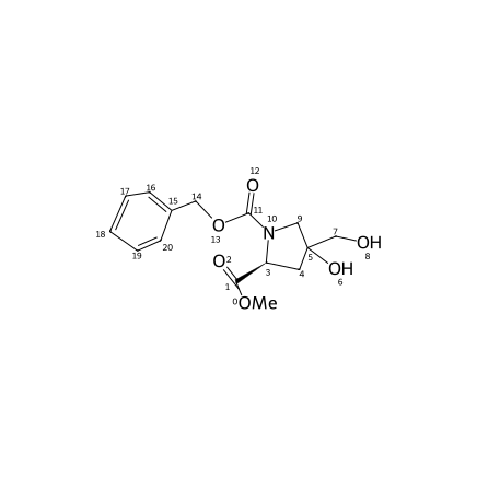 COC(=O)[C@@H]1CC(O)(CO)CN1C(=O)OCc1ccccc1